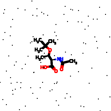 CC(=O)N[C@H](C(=O)O)[C@@H](C)OC(C)(C)C